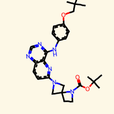 CC(C)(C)COc1ccc(Nc2ncnc3ccc(N4CC5(CCN5C(=O)OC(C)(C)C)C4)nc23)cc1